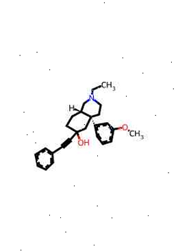 CCN1CC[C@@]2(c3cccc(OC)c3)CC(O)(C#Cc3ccccc3)CC[C@@H]2C1